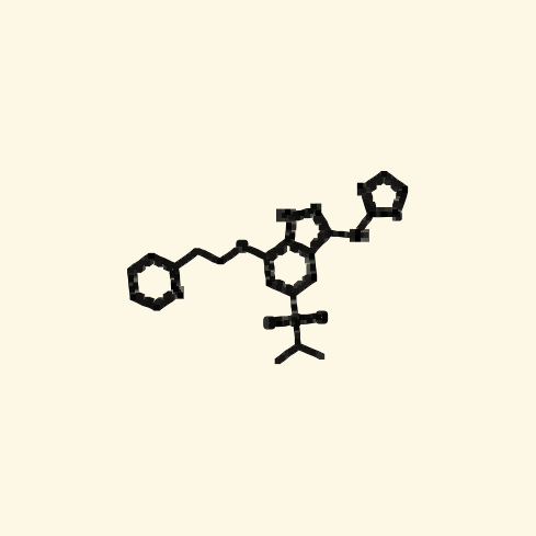 CC(C)S(=O)(=O)c1cc(OCCc2ccccn2)c2[nH]nc(Nc3nccs3)c2c1